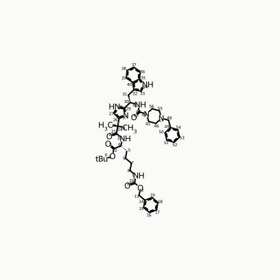 CC(C)(C)OC(=O)[C@@H](CCCCNC(=O)OCc1ccccc1)NC(=O)C(C)(C)c1c[nH]c([C@@H](Cc2c[nH]c3ccccc23)NC(=O)N2CCN(Cc3ccccc3)CC2)n1